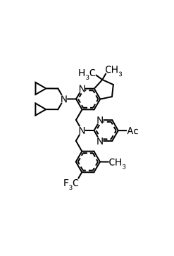 CC(=O)c1cnc(N(Cc2cc(C)cc(C(F)(F)F)c2)Cc2cc3c(nc2N(CC2CC2)CC2CC2)C(C)(C)CC3)nc1